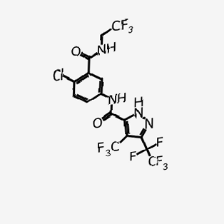 O=C(NCC(F)(F)F)c1cc(NC(=O)c2[nH]nc(C(F)(F)C(F)(F)F)c2C(F)(F)F)ccc1Cl